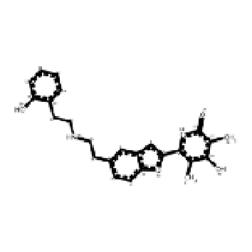 Cc1c(-c2cc3cc(CCNCCc4ccccc4O)ccc3o2)oc(=O)c(C)c1O